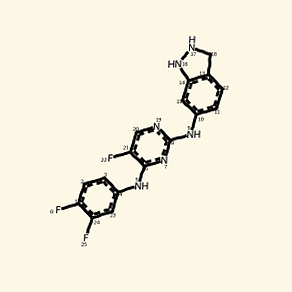 Fc1ccc(Nc2nc(Nc3ccc4c(c3)NNC4)ncc2F)cc1F